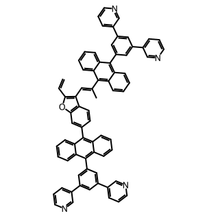 C=Cc1oc2cc(-c3c4ccccc4c(-c4cc(-c5cccnc5)cc(-c5cccnc5)c4)c4ccccc34)ccc2c1/C=C(\C)c1c2ccccc2c(-c2cc(-c3cccnc3)cc(-c3cccnc3)c2)c2ccccc12